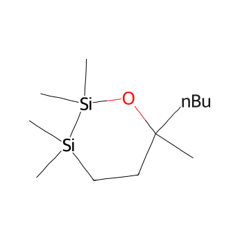 CCCCC1(C)CC[Si](C)(C)[Si](C)(C)O1